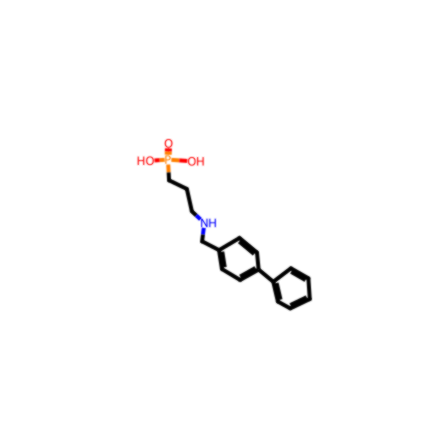 O=P(O)(O)CCCNCc1ccc(-c2ccccc2)cc1